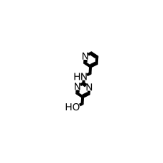 OCc1cnc(NCc2cccnc2)nc1